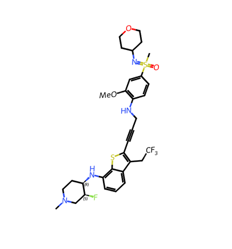 COc1cc(S(C)(=O)=NC2CCOCC2)ccc1NCC#Cc1sc2c(N[C@@H]3CCN(C)C[C@@H]3F)cccc2c1CC(F)(F)F